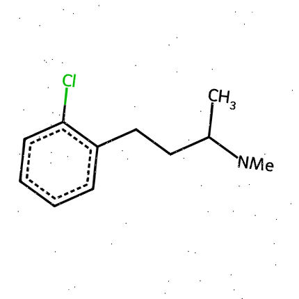 CNC(C)CCc1ccccc1Cl